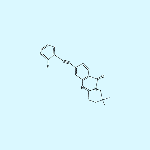 CC1(C)CCc2nc3cc(C#Cc4cccnc4F)ccc3c(=O)n2C1